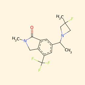 CC(c1cc2c(c(C(F)(F)F)c1)CN(C)C2=O)N1CC(C)(F)C1